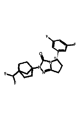 O=c1n(C23CCC(C(F)F)(CC2)C3)nc2n1[C@H](c1cc(F)cc(F)c1)CC2